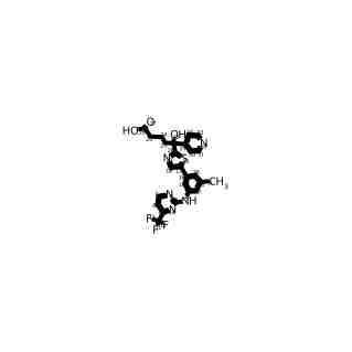 Cc1cc(Nc2nccc(C(F)(F)F)n2)cc(-c2cnc(C(O)(CCCC(=O)O)c3ccncc3)s2)c1